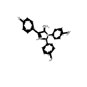 CC1C(c2ccc(F)cc2)=NC(c2ccc(F)cc2)N1c1ccc(Br)cc1